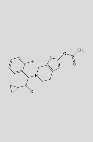 CC(=O)Oc1cc2c(s1)CN(C(C(=O)C1CC1)c1ccccc1F)CC2